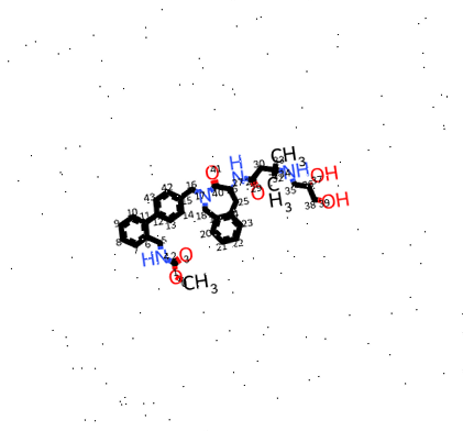 COC(=O)NCc1ccccc1-c1ccc(CN2Cc3ccccc3C[C@@H](NC(=O)CC(C)(C)NC[C@H](O)CO)C2=O)cc1